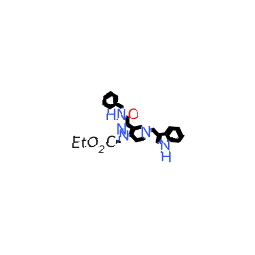 CCOC(=O)Cn1nc(C(=O)NCc2ccccc2)c2c1CCN(Cc1c[nH]c3ccccc13)C2